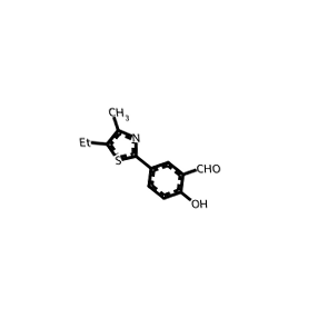 CCc1sc(-c2ccc(O)c(C=O)c2)nc1C